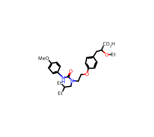 CCOC(Cc1ccc(OCCN(CC(CC)CC)C(=O)Nc2ccc(OC)cc2)cc1)C(=O)O